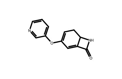 O=C1NC2CC=C(Oc3cccnc3)C=C12